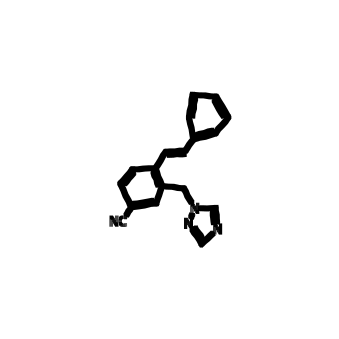 N#Cc1ccc(C=Cc2ccccc2)c(Cn2cncn2)c1